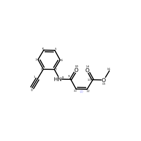 C#Cc1ccccc1NC(=O)/C=C\C(=O)OC